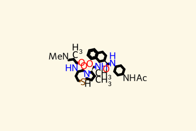 CNC[C@@H](C)C(=O)N[C@H]1CCS[C@@H]2CC(C)(C)[C@@H](C(=O)N[C@H]3c4ccccc4CC[C@H]3C(=O)N[C@H]3CC[C@H](NC(C)=O)CC3)N2C1=O